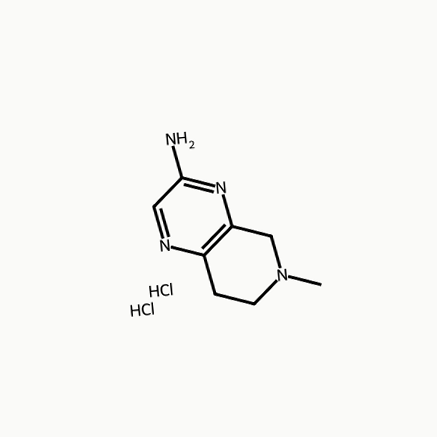 CN1CCc2ncc(N)nc2C1.Cl.Cl